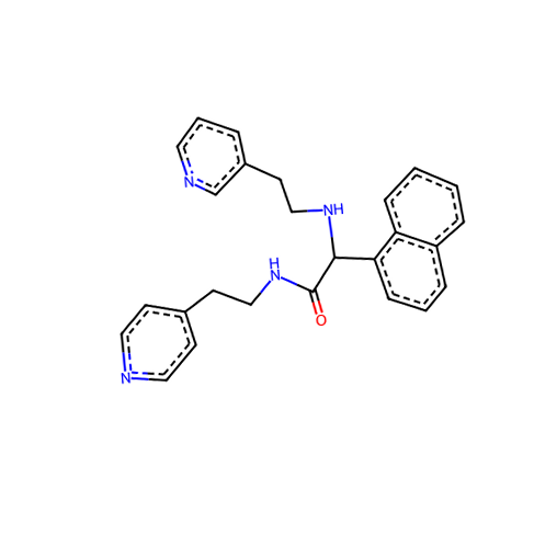 O=C(NCCc1ccncc1)C(NCCc1cccnc1)c1cccc2ccccc12